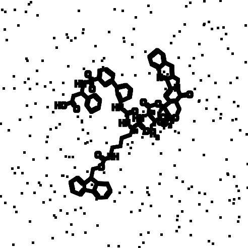 CC[C@@]1(OC(=O)[C@@H](NC(=O)[C@H](CCCCNC(=O)OCC2c3ccccc3-c3ccccc32)NC(=O)Nc2cccc(-c3cccc(S(=O)(=O)NC(CC(=O)O)c4ccccc4)c3)c2)C(C)C)C(=O)OCc2c1cc1n(c2=O)Cc2cc3ccccc3nc2-1